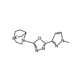 Cn1ccc(-c2nnc(N3CCN4CCC3CC4)o2)n1